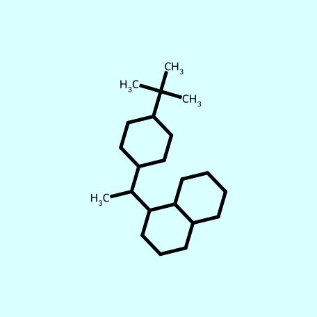 CC(C1CCC(C(C)(C)C)CC1)C1CCCC2CCCCC21